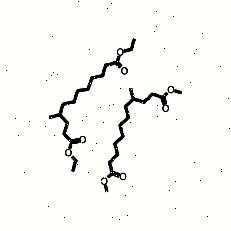 CCOC(=O)CCCCCCCC(C)CCC(=O)OCC.COC(=O)CCCCCCCC(C)CCC(=O)OC